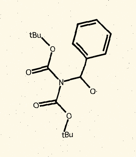 CC(C)(C)OC(=O)N(C(=O)OC(C)(C)C)C([O])c1ccccc1